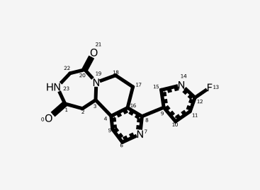 O=C1CC2c3ccnc(-c4ccc(F)nc4)c3CCN2C(=O)CN1